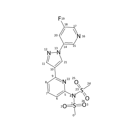 CS(=O)(=O)N(c1cccc(-c2cnn(-c3cncc(F)c3)c2)n1)S(C)(=O)=O